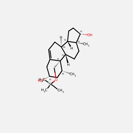 C[C@@H]1C[C@H](O)CC2=CC[C@H]3[C@@H]4CC[C@H](O)[C@@]4(C)CC[C@@H]3[C@]21CO[Si](C)(C)C